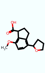 COc1ccc(C2CCCO2)c2c1C(C(=O)O)CC2